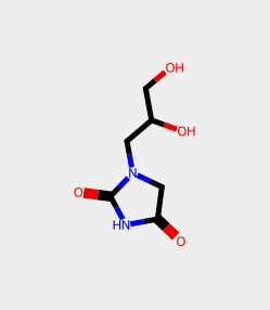 O=C1CN(CC(O)CO)C(=O)N1